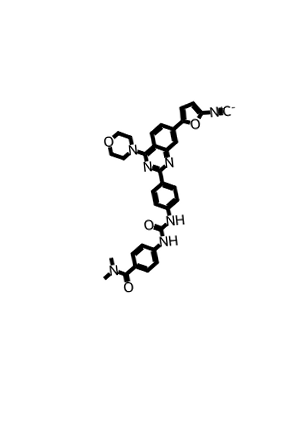 [C-]#[N+]c1ccc(-c2ccc3c(N4CCOCC4)nc(-c4ccc(NC(=O)Nc5ccc(C(=O)N(C)C)cc5)cc4)nc3c2)o1